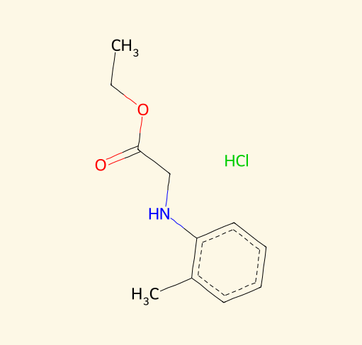 CCOC(=O)CNc1ccccc1C.Cl